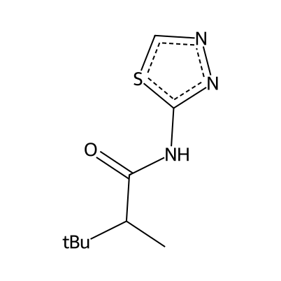 CC(C(=O)Nc1nncs1)C(C)(C)C